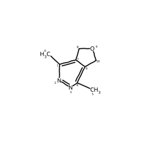 Cc1nnc(C)c2c1COC2